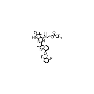 Cc1nc2c(OCc3c(F)cccc3F)cccn2c1-c1nc(NCCOC(=O)C(F)(F)F)c2c(n1)NC(=O)C2(C)C